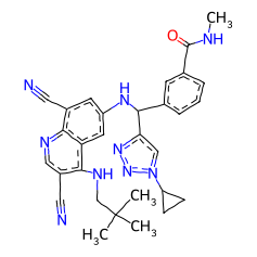 CNC(=O)c1cccc(C(Nc2cc(C#N)c3ncc(C#N)c(NCC(C)(C)C)c3c2)c2cn(C3CC3)nn2)c1